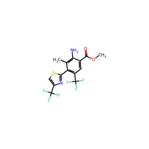 COC(=O)c1cc(C(F)(F)F)c(-c2nc(C(F)(F)F)cs2)c(C)c1N